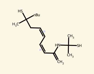 C=C(/C=C\C=C/CC(C)(S)CCCC)NC(C)(C)S